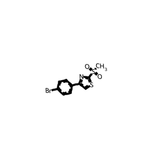 CS(=O)(=O)c1nc(-c2ccc(Br)cc2)cs1